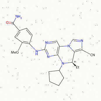 CC[C@@H]1c2c(C#N)ncn2-c2cnc(Nc3ccc(C(N)=O)cc3OC)nc2N1C1CCCC1